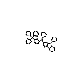 C1=CC2c3ccc(N(c4ccccc4)c4ccc5c(c4)C(c4ccccc4)(c4ccccc4)c4ccccc4-5)cc3N(c3ccccc3)C2C=C1